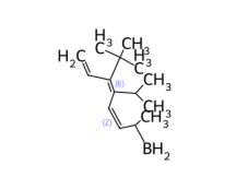 BC(C)/C=C\C(=C(/C=C)C(C)(C)C)C(C)C